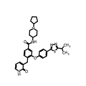 CC(C)c1nnc(-c2ccc(Oc3cc(C(=O)NC4CCN(C5CCCC5)CC4)ccc3Cc3ccc[nH]c3=O)cc2)s1